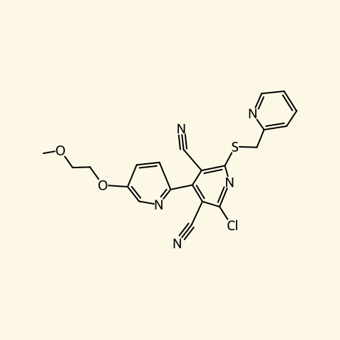 COCCOc1ccc(-c2c(C#N)c(Cl)nc(SCc3ccccn3)c2C#N)nc1